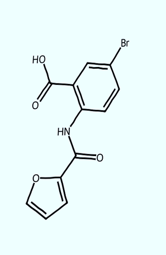 O=C(Nc1ccc(Br)cc1C(=O)O)c1ccco1